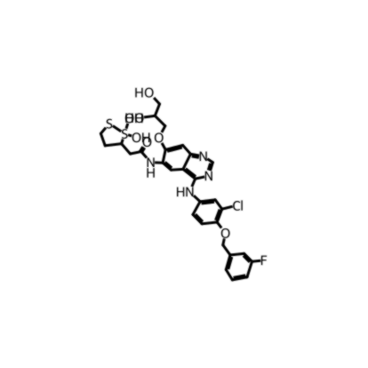 O=C(CC1CCSS1(O)O)Nc1cc2c(Nc3ccc(OCc4cccc(F)c4)c(Cl)c3)ncnc2cc1OCC(O)CO